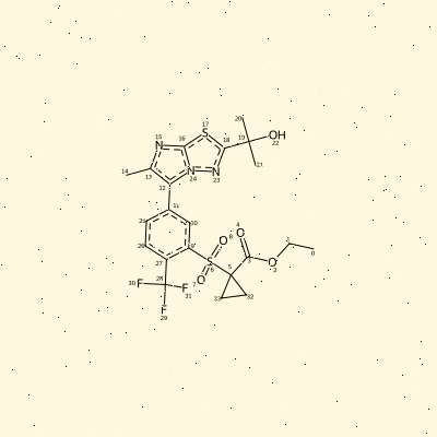 CCOC(=O)C1(S(=O)(=O)c2cc(-c3c(C)nc4sc(C(C)(C)O)nn34)ccc2C(F)(F)F)CC1